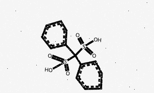 O=S(=O)(O)C(c1ccccc1)(c1ccccc1)S(=O)(=O)O